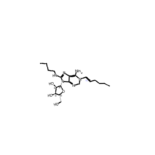 CCCC/C=C/N1CN=c2c(nc(NCCCC)n2[C@@H]2O[C@H](CO)[C@@H](O)[C@H]2O)=C1N